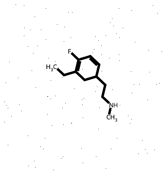 CCC1=C(F)C=CC(CCNC)C1